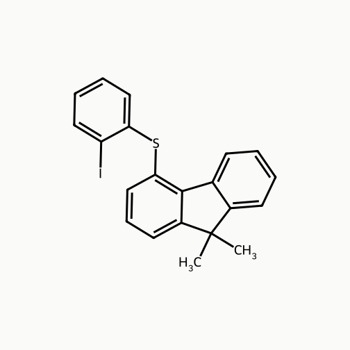 CC1(C)c2ccccc2-c2c(Sc3ccccc3I)cccc21